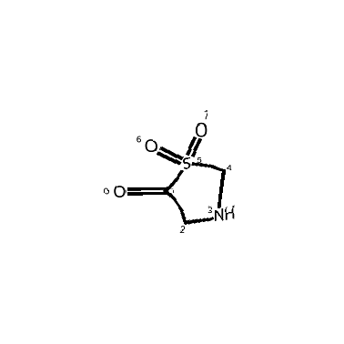 O=C1CNCS1(=O)=O